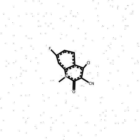 Cn1c(=O)c(C#N)c(Cl)c2ccc(F)cc21